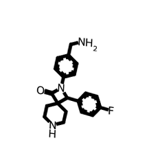 NCc1ccc(N2C(=O)C3(CCNCC3)C2c2ccc(F)cc2)cc1